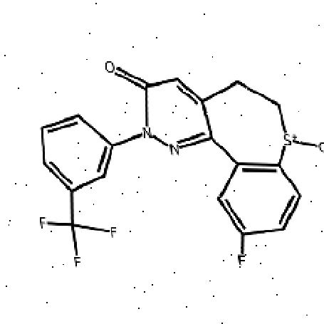 O=c1cc2c(nn1-c1cccc(C(F)(F)F)c1)-c1cc(F)ccc1[S+]([O-])CC2